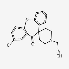 C#CCN1CCC2(CC1)C(=O)c1cc(Cl)ccc1Sc1ccccc12